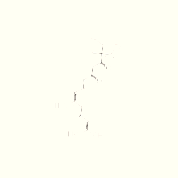 CC(C)=CCC/C(C)=C\CCC(=O)CC(=O)C(CF)(CF)CF